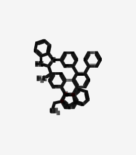 CCc1nc2ccccc2n1-c1ccccc1-c1c(-c2ccccc2)ccc(-c2ccccc2)c1-c1cccc(N2c3ccccc3NC2CC)c1